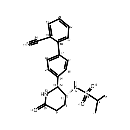 CC(C)S(=O)(=O)N[C@@H]1CCC(=O)N[C@H]1c1ccc(-c2ccccc2C#N)cc1